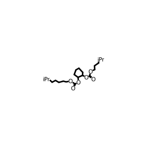 CC(C)CCCCCOC(=O)OC1CCCCC1OC(=O)OCCCC(C)C